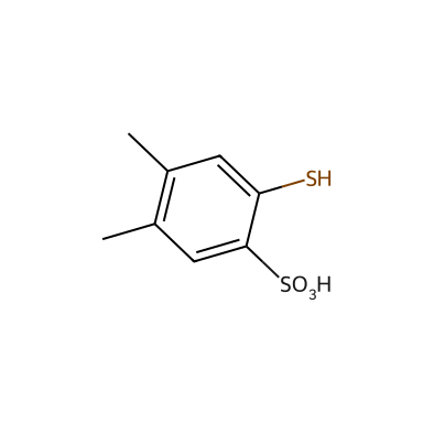 Cc1cc(S)c(S(=O)(=O)O)cc1C